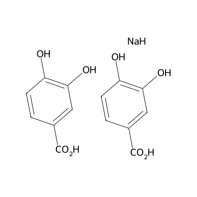 O=C(O)c1ccc(O)c(O)c1.O=C(O)c1ccc(O)c(O)c1.[NaH]